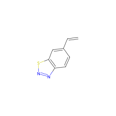 C=Cc1ccc2nnsc2c1